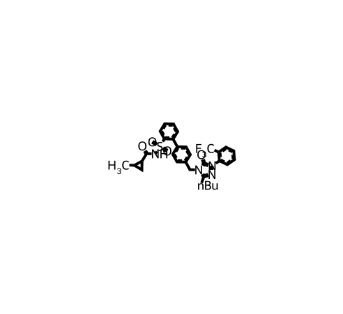 CCCCc1nn(-c2ccccc2C(F)(F)F)c(=O)n1Cc1ccc(-c2ccccc2S(=O)(=O)NC(=O)C2CC2C)cc1